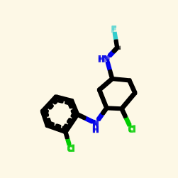 F[C]NC1CCC(Cl)C(Nc2ccccc2Cl)C1